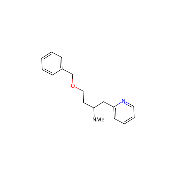 CNC(CCOCc1ccccc1)Cc1ccccn1